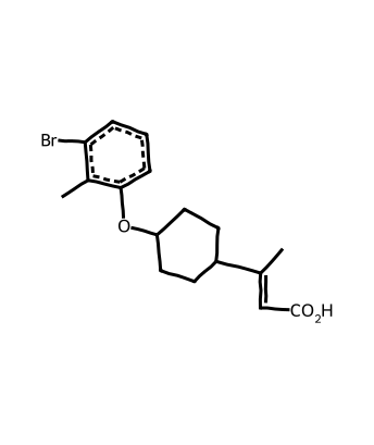 C/C(=C\C(=O)O)C1CCC(Oc2cccc(Br)c2C)CC1